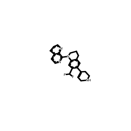 FC(F)c1cc2c(cc1C1=CCNCC1)CCCN2c1nccc2cccnc12